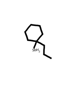 CCC[C]1([SbH2])CCCCC1